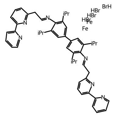 Br.Br.Br.Br.CC(C)c1cc(-c2cc(C(C)C)c(N=CCc3cccc(-c4ccccn4)n3)c(C(C)C)c2)cc(C(C)C)c1N=CCc1cccc(-c2ccccn2)n1.[Fe].[Fe]